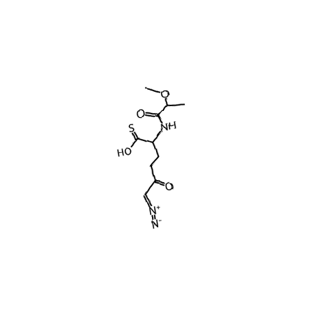 COC(C)C(=O)NC(CCC(=O)C=[N+]=[N-])C(O)=S